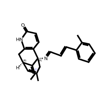 C/C=C1\[C@H]2C=C(C)C[C@]1(N=CC=Cc1ccccc1C)c1ccc(=O)[nH]c1C2